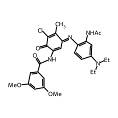 CCN(CC)c1ccc(/N=C2\C=C(NC(=O)c3cc(OC)cc(OC)c3)C(=O)C(Cl)=C2C)c(NC(C)=O)c1